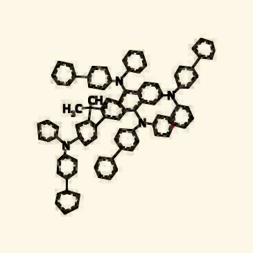 CC1(C)c2cc(N(c3ccccc3)c3ccc(-c4ccccc4)cc3)ccc2-c2cc3c(N(c4ccccc4)c4ccc(-c5ccccc5)cc4)c4cc(N(c5ccccc5)c5ccc(-c6ccccc6)cc5)ccc4c(N(c4ccccc4)c4ccc(-c5ccccc5)cc4)c3cc21